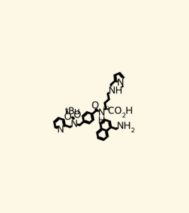 Cn1cccc1CNCCC[C@H](NC(=O)c1ccc(CN(Cc2ccccn2)C(=O)OC(C)(C)C)cc1)C(=O)O.NCc1cccc2ccccc12